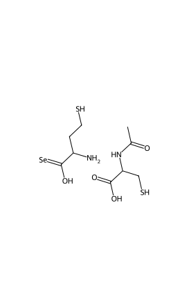 CC(=O)NC(CS)C(=O)O.NC(CCS)C(O)=[Se]